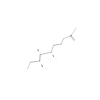 CC(=O)C[C@H](O)[C@@H](O)[C@@H](O)[C@H](O)[C@@H](O)CO